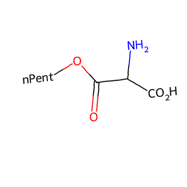 CCCCCOC(=O)C(N)C(=O)O